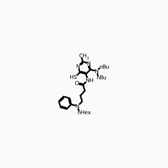 CCCCCCN(CCCC(=O)Nc1c(S)nc(C)nc1N(CCCC)CCCC)c1ccccc1